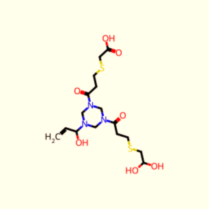 C=CC(O)N1CN(C(=O)CCSCC(=O)O)CN(C(=O)CCSCC(O)O)C1